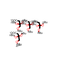 CCCCOCC(CC(=O)[O-])(OCCCC)OCCCC.CCCCOCC(CC(=O)[O-])(OCCCC)OCCCC.CCCCOCC(CC(=O)[O-])(OCCCC)OCCCC.CCCCOCC(CC(=O)[O-])(OCCCC)OCCCC.[Zr+4]